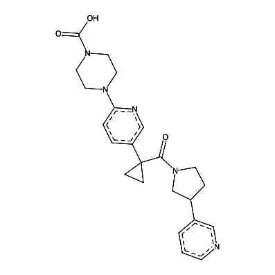 O=C(O)N1CCN(c2ccc(C3(C(=O)N4CCC(c5cccnc5)C4)CC3)cn2)CC1